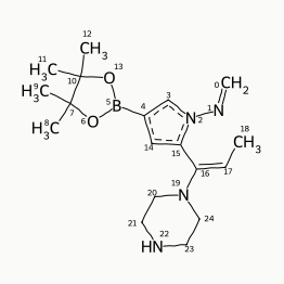 C=Nn1cc(B2OC(C)(C)C(C)(C)O2)cc1/C(=C\C)N1CCNCC1